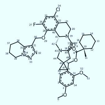 COc1ccc(COC(=O)[C@@]2(C)CCCC[C@H]2C(=O)N2CCc3c(Cl)cc(F)c(OCc4nnn5c4CCCC5)c3[C@H]2CN2CC3(CC3)CC2=O)c(OC)c1